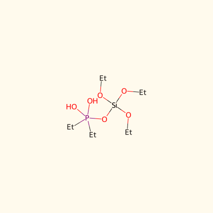 CCO[Si](OCC)(OCC)OP(O)(O)(CC)CC